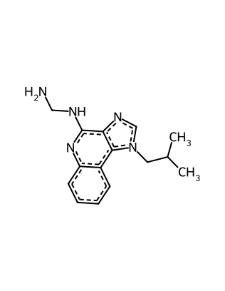 CC(C)Cn1cnc2c(NCN)nc3ccccc3c21